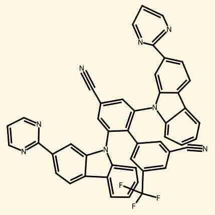 N#Cc1cc(-c2c(-n3c4ccccc4c4ccc(-c5ncccn5)cc43)cc(C#N)cc2-n2c3ccccc3c3ccc(-c4ncccn4)cc32)cc(C(F)(F)F)c1